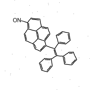 O=Nc1ccc2ccc3c(C(=C(c4ccccc4)c4ccccc4)c4ccccc4)ccc4ccc1c2c43